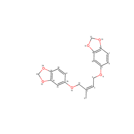 CC(=CCOc1ccc2c(c1)OCO2)COc1ccc2c(c1)OCO2